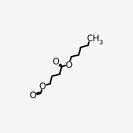 CCCCCOC(=O)CCCOC=O